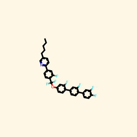 CCCCCc1ccc(-c2ccc(C(F)(F)Oc3ccc(-c4ccc(-c5ccc(F)c(F)c5)c(F)c4)c(F)c3)c(F)c2)nc1